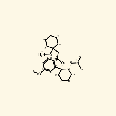 COc1cccc([C@]2(OC(=O)CC3(CN)CCCCC3)CCCC[C@H]2CN(C)C)c1